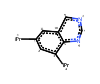 CC(C)c1cc(C(C)C)c2ncncc2c1